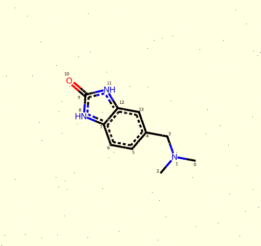 CN(C)Cc1ccc2[nH]c(=O)[nH]c2c1